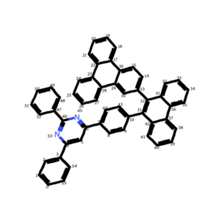 c1ccc(-c2cc(-c3ccc(-c4c(-c5ccc6c7ccccc7c7ccccc7c6c5)c5ccccc5c5ccccc45)cc3)nc(-c3ccccc3)n2)cc1